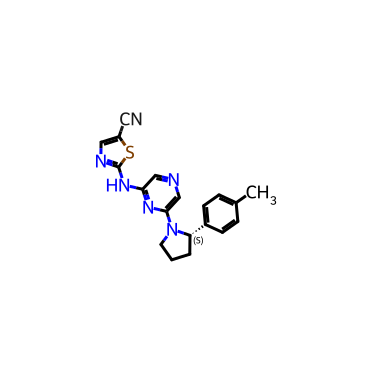 Cc1ccc([C@@H]2CCCN2c2cncc(Nc3ncc(C#N)s3)n2)cc1